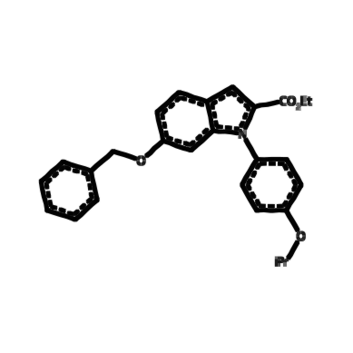 CCOC(=O)c1cc2ccc(OCc3ccccc3)cc2n1-c1ccc(OC(C)C)cc1